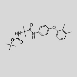 Cc1cccc(Oc2ccc(NC(=O)C(C)(C)NC(=O)OC(C)(C)C)cc2)c1C